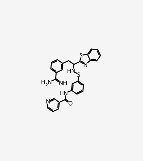 N=C(N)c1cccc(CC(NSc2cccc(NC(=O)c3cccnc3)c2)c2nc3ccccc3s2)c1